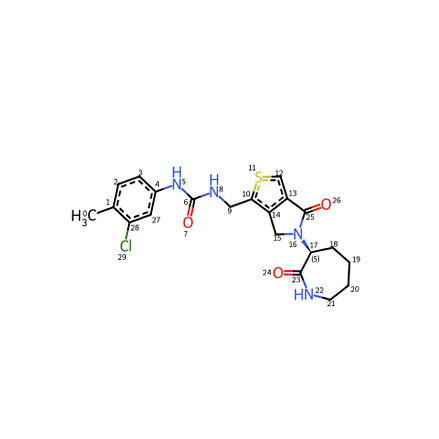 Cc1ccc(NC(=O)NCc2scc3c2CN([C@H]2CCCCNC2=O)C3=O)cc1Cl